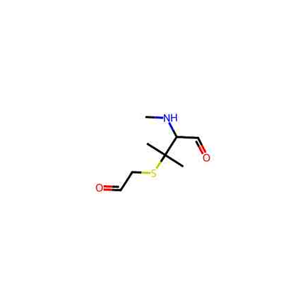 CNC(C=O)C(C)(C)SCC=O